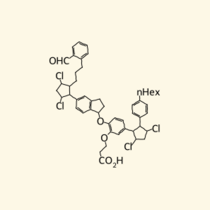 CCCCCCc1ccc(C2C(Cl)CC(Cl)C2c2ccc(OC3CCc4cc(C5C(Cl)CC(Cl)C5CCCc5ccccc5C=O)ccc43)c(OCCC(=O)O)c2)cc1